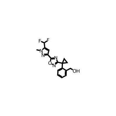 Cn1nc(-c2nc(C3(c4ccccc4CO)CC3)no2)cc1C(F)F